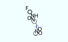 O=C(Nc1ccc(F)cc1)N1CCC(/C=C/C(=O)N2CCC=CC2=O)CC1